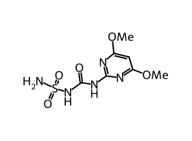 COc1cc(OC)nc(NC(=O)NS(N)(=O)=O)n1